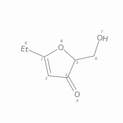 CCC1=CC(=O)C(CO)O1